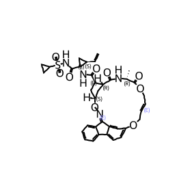 C=C[C@@H]1C[C@]1(NC(=O)[C@@H]1C[C@@H]2C[C@H]1C(=O)N[C@H](C)C(=O)OC/C=C/COc1ccc3c(c1)/C(=N/O2)c1ccccc1-3)C(=O)NS(=O)(=O)C1CC1